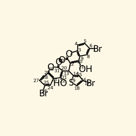 O=c1oc2ccc(Br)cc2c(O)c1C(c1cc(Br)cs1)c1c(O)c2cc(Br)ccc2oc1=O